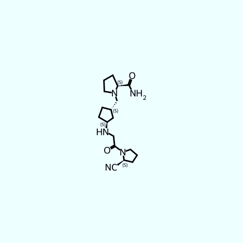 N#C[C@@H]1CCCN1C(=O)CN[C@H]1CC[C@H](CN2CCC[C@H]2C(N)=O)C1